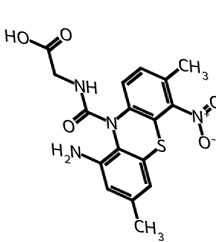 Cc1cc(N)c2c(c1)Sc1c(ccc(C)c1[N+](=O)[O-])N2C(=O)NCC(=O)O